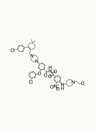 COCCN1CCC(Nc2ccc(S(=O)(=O)NC(=O)c3ccc(N4CCN(CC5=C(c6ccc(Cl)cc6)CC(C)(C)CC5)CC4)cc3Oc3cccc(Cl)c3)cc2[N+](=O)[O-])CC1